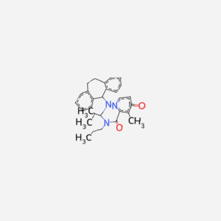 CCCN1C(=O)c2c(C)c(=O)ccn2N(C2c3ccccc3CCc3ccccc32)C1C(C)C